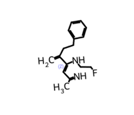 C=C(CCc1ccccc1)/C(=C/C(C)=N)NCCF